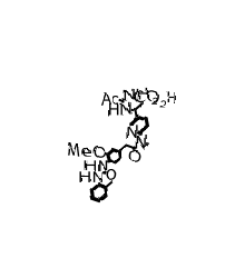 COc1cc(CC(=O)N(C)c2ccc(C(CC(=O)O)NC(N)C(C)=O)cn2)ccc1NC(=O)Nc1ccccc1C